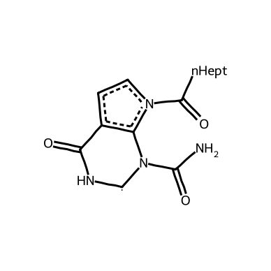 CCCCCCCC(=O)n1ccc2c1N(C(N)=O)[CH]NC2=O